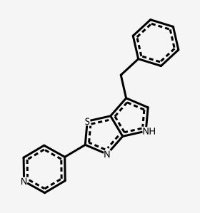 c1ccc(Cc2c[nH]c3nc(-c4ccncc4)sc23)cc1